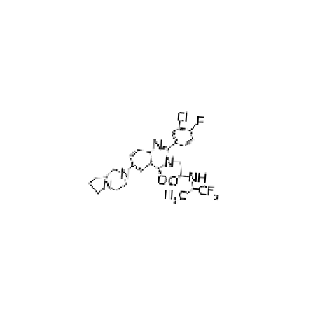 CC(NC(=O)Cn1c(-c2ccc(F)c(Cl)c2)nc2ccc(N3CCN4CCCC4C3)cc2c1=O)C(F)(F)F